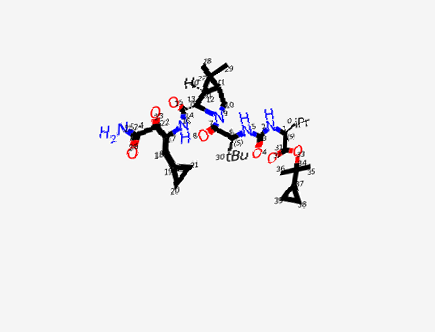 CC(C)[C@H](NC(=O)N[C@H](C(=O)N1CC2[C@@H]([C@H]1C(=O)NC(CC1CC1)C(=O)C(N)=O)C2(C)C)C(C)(C)C)C(=O)OC(C)(C)C1CC1